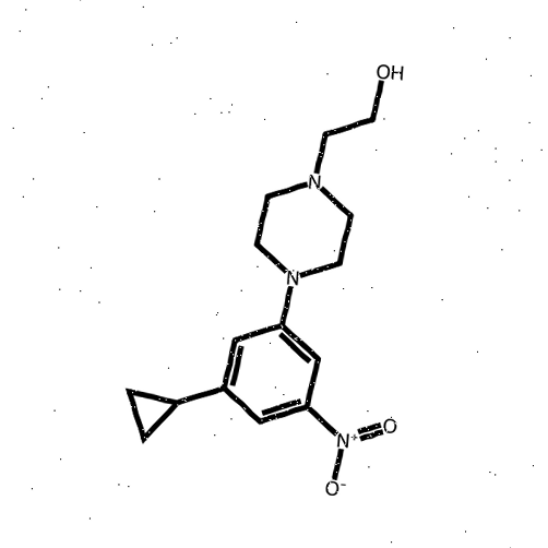 O=[N+]([O-])c1cc(C2CC2)cc(N2CCN(CCO)CC2)c1